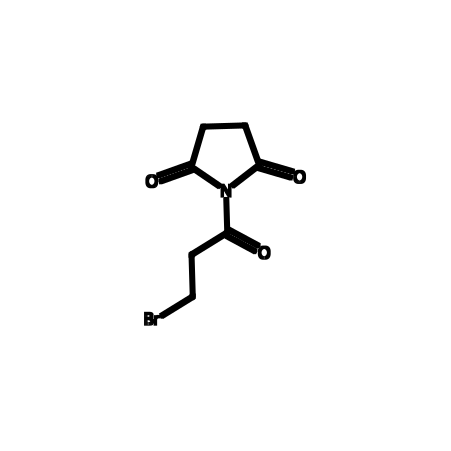 O=C(CCBr)N1C(=O)CCC1=O